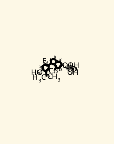 CC(C)c1cc(C2CCc3cc(OCP(=O)(O)O)cc(Cl)c32)c(F)cc1O